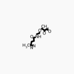 CC(OCCNC(=O)CCC1(C)N=N1)C(=O)C=O